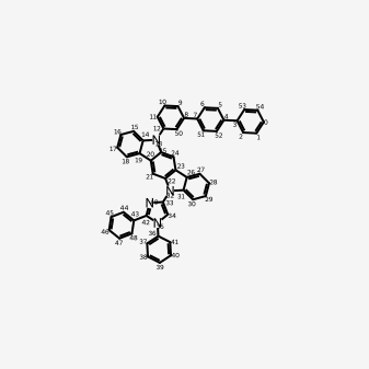 c1ccc(-c2ccc(-c3cccc(-n4c5ccccc5c5cc6c(cc54)c4ccccc4n6-c4cn(-c5ccccc5)c(-c5ccccc5)n4)c3)cc2)cc1